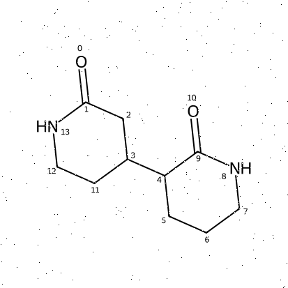 O=C1CC(C2CCCNC2=O)CCN1